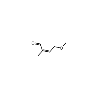 COCC=C(C)C=O